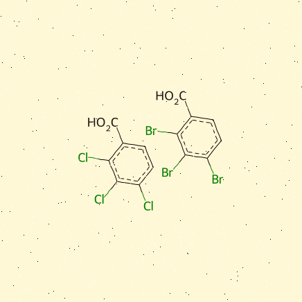 O=C(O)c1ccc(Br)c(Br)c1Br.O=C(O)c1ccc(Cl)c(Cl)c1Cl